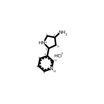 Cl.NC1CNC(c2cccnc2)C1